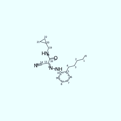 CCCCCc1ccccc1NN=C(C#N)C(=O)NCC1CC1